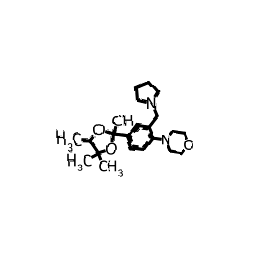 CC1OC(C)(c2ccc(N3CCOCC3)c(CN3CCCC3)c2)OC1(C)C